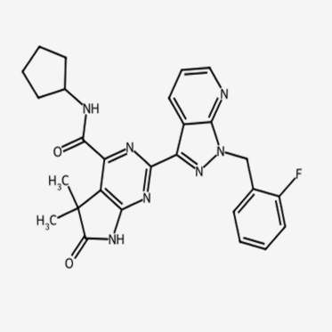 CC1(C)C(=O)Nc2nc(-c3nn(Cc4ccccc4F)c4ncccc34)nc(C(=O)NC3CCCC3)c21